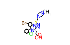 CN1CCN(CCSc2nnc3n2-c2ccc(Br)cc2C(c2ccccc2Cl)=N[C@H]3CCC(=O)O)CC1